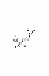 CCCC[N+](CC)(CC)CCCC.O=S([O-])[O-].[H+]